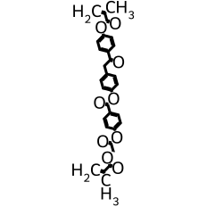 C=C(C)C(=O)OCC(=O)Oc1ccc(C(=O)Oc2ccc(CC(=O)c3ccc(OC(=O)C(=C)C)cc3)cc2)cc1